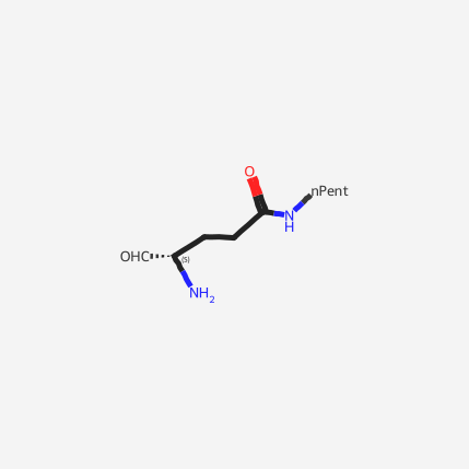 CCCCCNC(=O)CC[C@H](N)C=O